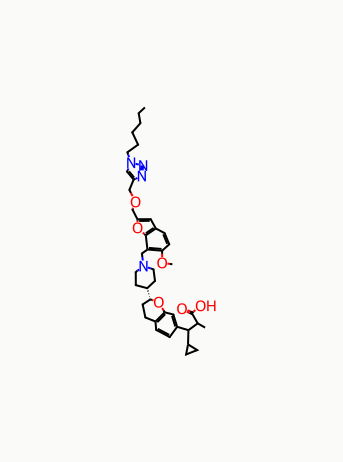 CCCCCCn1cc(COCc2cc3ccc(OC)c(CN4CCC([C@H]5CCc6ccc(C(C7CC7)C(C)C(=O)O)cc6O5)CC4)c3o2)nn1